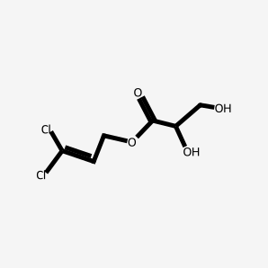 O=C(OCC=C(Cl)Cl)C(O)CO